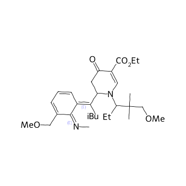 CCOC(=O)C1=CN(C(CC)C(C)(C)COC)C(/C(=C2\C=CC=C(COC)\C2=N\C)C(C)CC)CC1=O